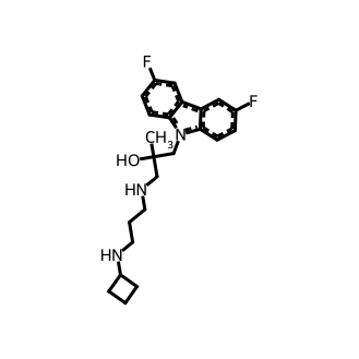 CC(O)(CNCCCNC1CCC1)Cn1c2ccc(F)cc2c2cc(F)ccc21